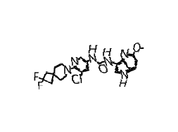 COc1ccc2[nH]cc(NC(=O)Nc3cnc(N4CCC5(CC4)CC(F)(F)C5)c(Cl)c3)c2n1